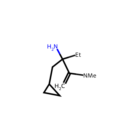 C=C(NC)C(N)(CC)CC1CC1